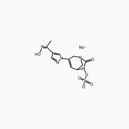 C/C(=N/O)c1cnn(C2=CC3CN(C2)C(=O)N3OS(=O)(=O)[O-])c1.[Na+]